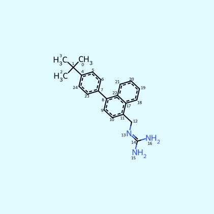 CC(C)(C)c1ccc(-c2ccc(CN=C(N)N)c3ccccc23)cc1